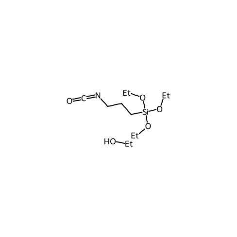 CCO.CCO[Si](CCCN=C=O)(OCC)OCC